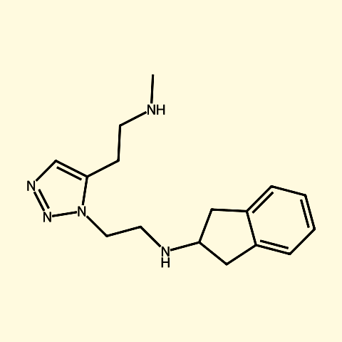 CNCCc1cnnn1CCNC1Cc2ccccc2C1